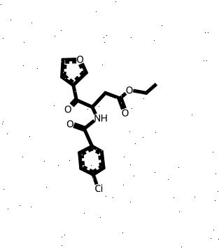 CCOC(=O)CC(NC(=O)c1ccc(Cl)cc1)C(=O)c1ccoc1